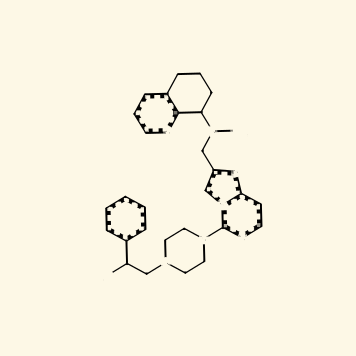 CC(CN1CCN(c2nccc3nc(CN(C)C4CCCc5cccnc54)cn23)CC1)c1ccccc1